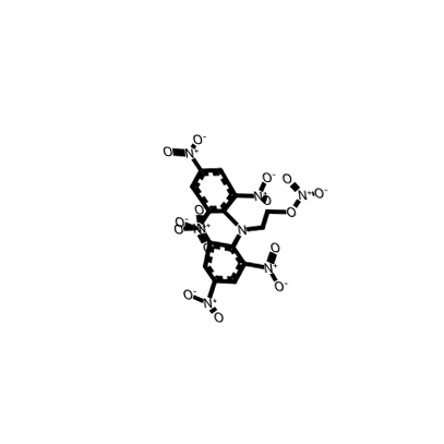 O=[N+]([O-])OCCN(c1c([N+](=O)[O-])cc([N+](=O)[O-])cc1[N+](=O)[O-])c1c([N+](=O)[O-])cc([N+](=O)[O-])cc1[N+](=O)[O-]